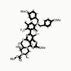 COc1ccc(CN(Cc2ccc(OC)cc2)c2cc(C)c(C(F)(F)F)c(-c3nc4c5c(nc(SC)nc5c3F)N3C[C@@H](C)N(C(=O)OC(C)(C)C)C5N[C@@]53[C@H](C)O4)c2F)cc1